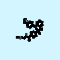 O=C(O)CNC(=O)c1ccc(S(=O)(=O)Nc2ccccc2Oc2ccc(OC(F)(F)F)cc2)cc1